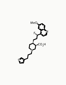 COc1ccc2nccc([C@H](F)CC[C@@H]3CCN(CCCc4ccsc4)C[C@@H]3C(=O)O)c2c1